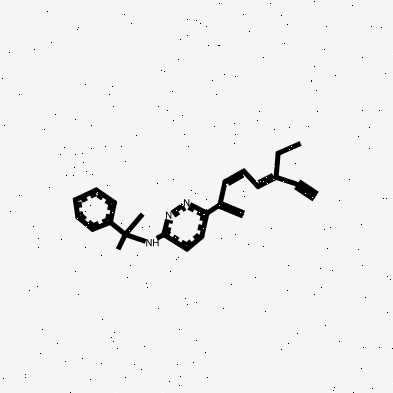 C#C/C(=C/C=C\C(=C)c1ccc(NC(C)(C)c2ccccc2)nn1)CC